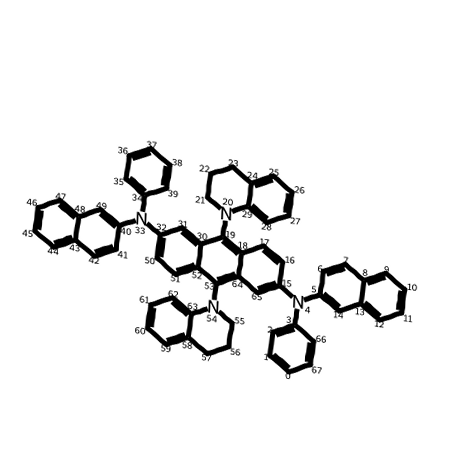 c1ccc(N(c2ccc3ccccc3c2)c2ccc3c(N4CCCc5ccccc54)c4cc(N(c5ccccc5)c5ccc6ccccc6c5)ccc4c(N4CCCc5ccccc54)c3c2)cc1